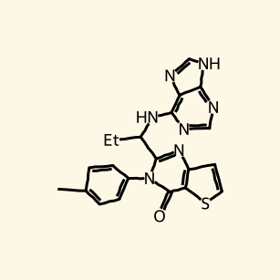 CCC(Nc1ncnc2[nH]cnc12)c1nc2ccsc2c(=O)n1-c1ccc(C)cc1